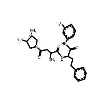 NC(CC(=O)N1CC(N)[C@H](N)C1)C(=O)NC(CCc1ccccc1)C(=O)Nc1cccc(C(F)(F)F)c1